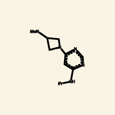 CNC1CN(c2cc(NC(C)C)ncn2)C1